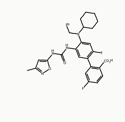 Cc1cc(NC(=O)Nc2cc(-c3cc(F)ccc3C(=O)O)c(F)cc2N(CC(C)C)C2CCCCC2)on1